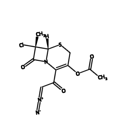 CC(=O)OC1=C(C(=O)C=[N+]=[N-])N2C(=O)[C@](C)(Cl)[C@@H]2SC1